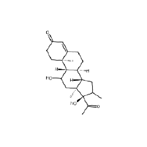 CC(=O)[C@@]1(O)C(C)C[C@H]2[C@@H]3CCC4=CC(=O)CC[C@]4(C)[C@H]3C(O)C[C@@]21C